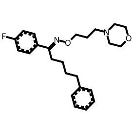 Fc1ccc(C(CCCCc2ccccc2)=NOCCCN2CCOCC2)cc1